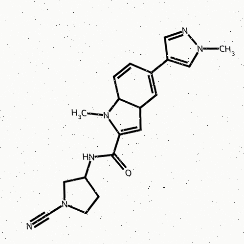 CN1C(C(=O)NC2CCN(C#N)C2)=CC2C=C(c3cnn(C)c3)C=CC21